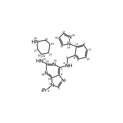 CC(C)n1cnc2c(NCc3ccccc3-n3cccn3)nc(N[C@H]3CCCNC3)nc21